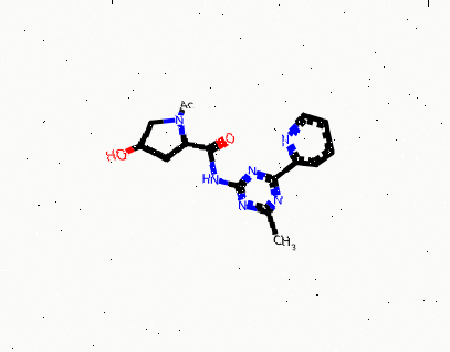 CC(=O)N1CC(O)CC1C(=O)Nc1nc(C)nc(-c2ccccn2)n1